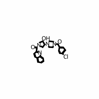 O=C(c1ccc(Cl)cc1)N1CCN([C@@H]2CN(C(=O)c3ccc4ccccc4n3)C[C@H]2O)CC1